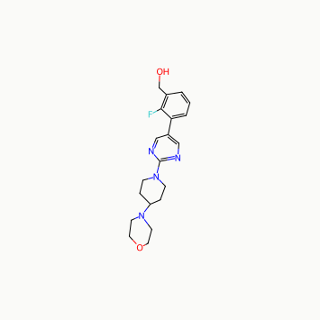 OCc1cccc(-c2cnc(N3CCC(N4CCOCC4)CC3)nc2)c1F